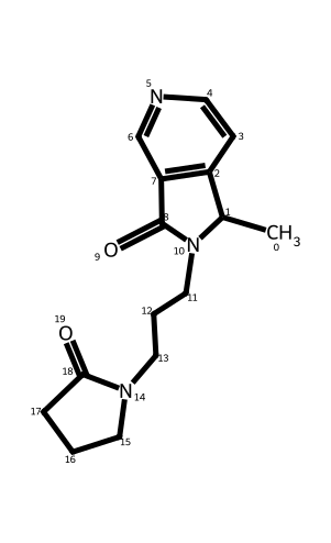 CC1c2ccncc2C(=O)N1CCCN1CCCC1=O